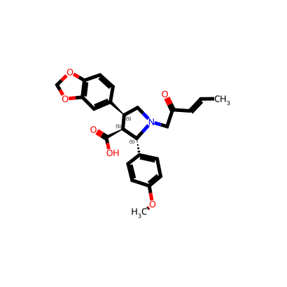 CC=CC(=O)CN1C[C@H](c2ccc3c(c2)OCO3)[C@H](C(=O)O)[C@H]1c1ccc(OC)cc1